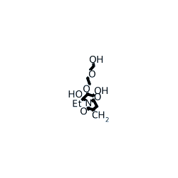 C=C1CC(=O)N(C(O)(CC)C(CO)OCCOCCO)C1=O